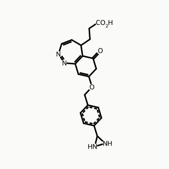 O=C(O)CCC1C=CN=NC2=C1C(=O)CC(OCc1ccc(C3NN3)cc1)=C2